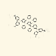 CC(C)c1ccc2c(c1)c1cc(C(C)(C)C)ccc1n2-c1ccc2c(c1)B(c1ccccc1)c1cc3c4c5c1N2c1ccccc1B5c1ccccc1N4c1ccc(-n2c4ccc(C(C)(C)C)cc4c4cc(C(C)(C)C)ccc42)cc1B3c1ccccc1